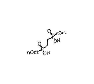 CCCCCCCCP(=O)(O)CCP(=O)(O)CCCCCCCC